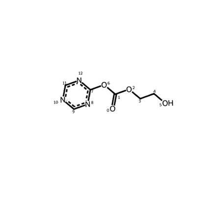 O=C(OCCO)Oc1ncncn1